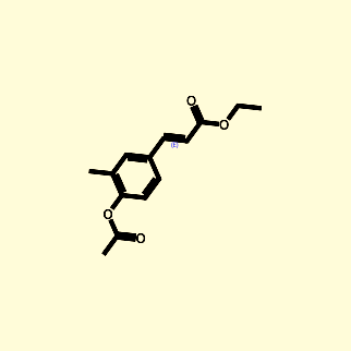 CCOC(=O)/C=C/c1ccc(OC(C)=O)c(C)c1